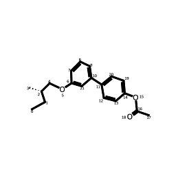 CC[C@H](C)COc1cccc(-c2ccc(OC(C)=O)cc2)c1